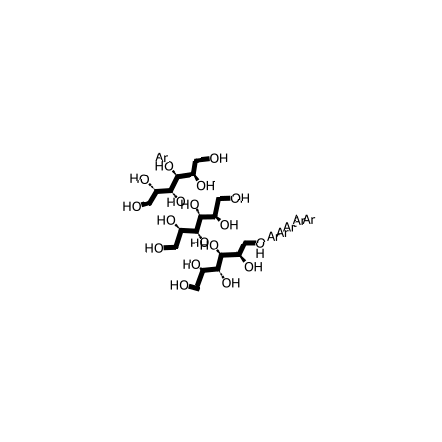 OC[C@@H](O)[C@@H](O)[C@H](O)[C@@H](O)CO.OC[C@@H](O)[C@@H](O)[C@H](O)[C@@H](O)CO.OC[C@@H](O)[C@@H](O)[C@H](O)[C@@H](O)CO.[Ar].[Ar].[Ar].[Ar].[Ar].[Ar]